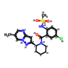 Cc1cnc2cc([C@@H]3CCCCN3C(=O)c3cc(Cl)ccc3NS(C)(=O)=O)nn2c1